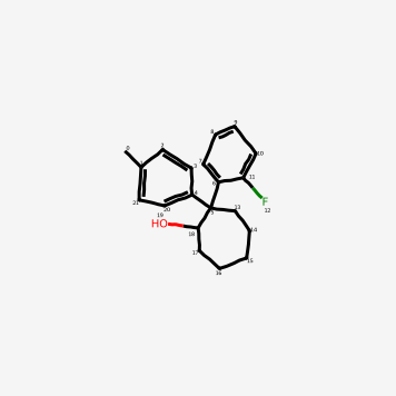 Cc1ccc(C2(c3ccccc3F)CCCCCC2O)cc1